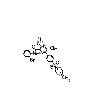 CN1CCN(S(=O)(=O)c2ccc(-c3cnc(N)c(C(=O)Nc4ccccc4Br)n3)cc2)CC1.Cl